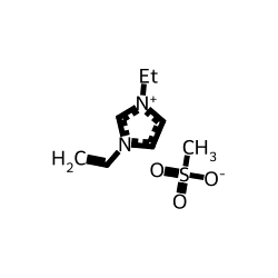 C=Cn1cc[n+](CC)c1.CS(=O)(=O)[O-]